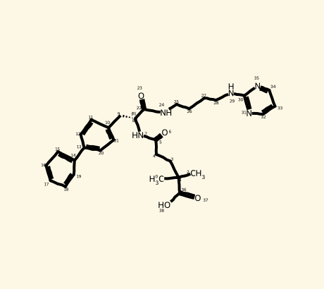 CC(C)(CCC(=O)N[C@H](Cc1ccc(-c2ccccc2)cc1)C(=O)NCCCCNc1ncccn1)C(=O)O